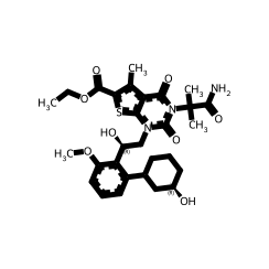 CCOC(=O)c1sc2c(c1C)c(=O)n(C(C)(C)C(N)=O)c(=O)n2C[C@H](O)c1c(OC)cccc1C1CCC[C@@H](O)C1